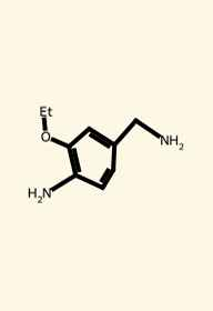 CCOc1cc(CN)ccc1N